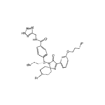 CC(C)CCCOc1cccc(C2=NC3(CCC(C(C)C)CC3)N([C@H](CCC(C)(C)C)c3ccc(C(=O)NCc4nn[nH]n4)cc3)C2=O)c1